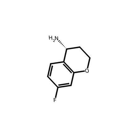 N[C@@H]1CCOc2cc(F)ccc21